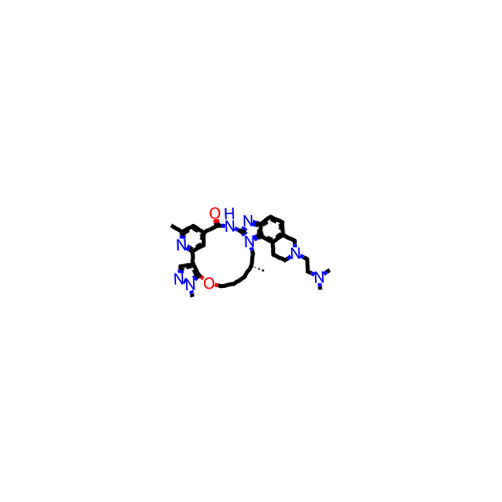 Cc1cc2cc(n1)-c1cnn(C)c1OCCC[C@@H](C)Cn1c(nc3ccc4c(c31)CCN(CCN(C)C)C4)NC2=O